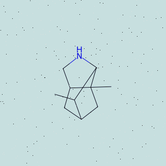 CC1C2CC3CNC1C3(C)C2